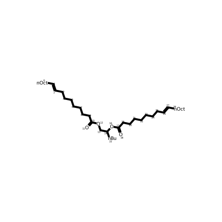 CCCCCCCC/C=C/CCCCCCCC(=O)OCC(CCCC)OC(=O)CCCCCCC/C=C/CCCCCCCC